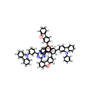 c1ccc(-n2c3ccccc3c3ccc(-c4cc(-c5ccc6oc7cccc(-c8nc(-c9cccc(-c%10ccc%11c(c%10)oc%10ccccc%10%11)c9)nc(-c9cccc(-n%10c%11ccccc%11c%11ccccc%11%10)c9)n8)c7c6c5)c5c(c4)oc4ccccc45)cc32)cc1